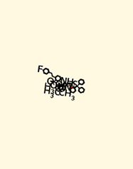 CC(C)(C)OC(=O)C(Nc1ccc(CCc2ccc(F)cc2)c(C(=O)O)c1)[C@@H]1C[C@H](SC(c2ccccc2)(c2ccccc2)c2ccccc2)CN1